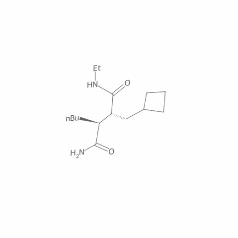 CCCC[C@H](C(N)=O)[C@@H](CC1CCC1)C(=O)NCC